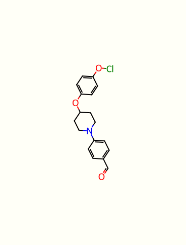 O=Cc1ccc(N2CCC(Oc3ccc(OCl)cc3)CC2)cc1